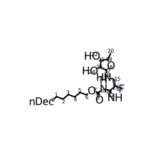 CCCCCCCCCCCCCCCCOC(=O)NC(=N)/C(F)=C\NC1OC(C)C(O)C1O